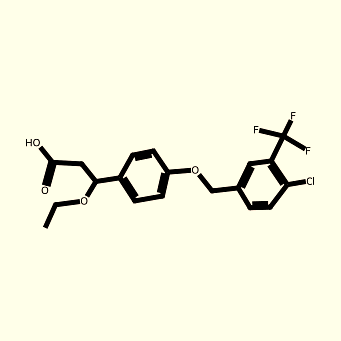 CCOC(CC(=O)O)c1ccc(OCc2ccc(Cl)c(C(F)(F)F)c2)cc1